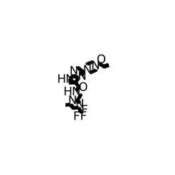 C=CC(=O)N1CCN(c2cnc3[nH]cc(C(=O)NCc4nc(C)cc(C(F)(F)F)n4)c3n2)CC1